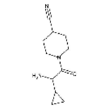 N#CC1CCN(C(=O)C(N)C2CC2)CC1